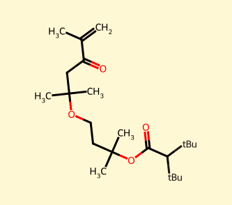 C=C(C)C(=O)CC(C)(C)OCCC(C)(C)OC(=O)C(C(C)(C)C)C(C)(C)C